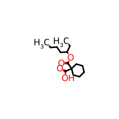 CCCCC(CC)OC(=O)C1(C(=O)O)CCCCC1